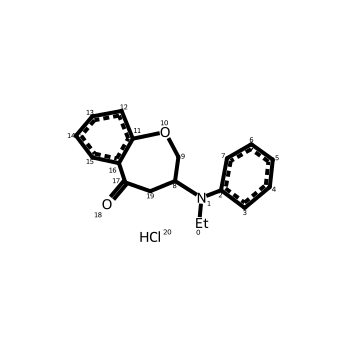 CCN(c1ccccc1)C1COc2ccccc2C(=O)C1.Cl